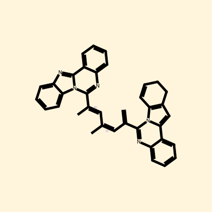 C=C(/C=C(C)\C=C(/C)c1nc2ccccc2c2nc3ccccc3n12)c1nc2ccccc2c2cc3c(n12)C=CCC3